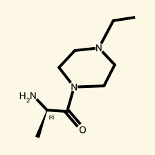 CCN1CCN(C(=O)[C@@H](C)N)CC1